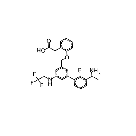 CC(N)c1cccc(-c2cc(COc3ccccc3CC(=O)O)cc(NCC(F)(F)F)c2)c1F